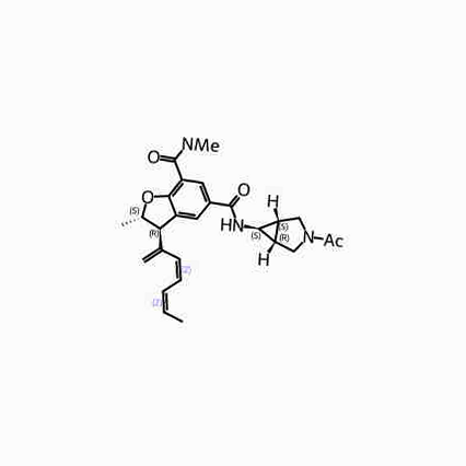 C=C(/C=C\C=C/C)[C@@H]1c2cc(C(=O)N[C@H]3[C@@H]4CN(C(C)=O)C[C@@H]43)cc(C(=O)NC)c2O[C@H]1C